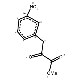 COC(=O)C(=O)Cc1cccc([N+](=O)[O-])c1